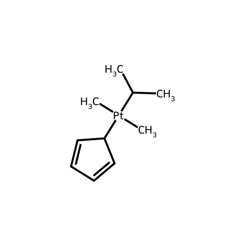 C[CH](C)[Pt]([CH3])([CH3])[CH]1C=CC=C1